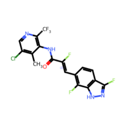 Cc1c(Cl)cnc(C(F)(F)F)c1NC(=O)/C(F)=C/c1ccc2c(F)n[nH]c2c1F